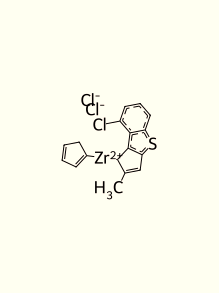 CC1=Cc2sc3cccc(Cl)c3c2[CH]1[Zr+2][C]1=CC=CC1.[Cl-].[Cl-]